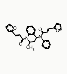 CC1CC(N(C(=O)/C=C/c2ccco2)c2ccccc2)c2ccccc2N1C(=O)/C=C/c1ccco1